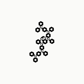 c1ccc(N(c2ccccc2)c2ccc(N(c3ccccc3)c3ccc(N(c4ccccc4)c4ccc(N(c5ccccc5)c5ccc(N(c6ccccc6)c6ccc(N(c7ccccc7)c7ccccc7)cc6)cc5)c5nccnc45)cc3)cc2)cc1